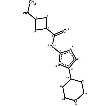 CNC1CC(C(=O)Nc2ncc(C3CCOCC3)s2)C1